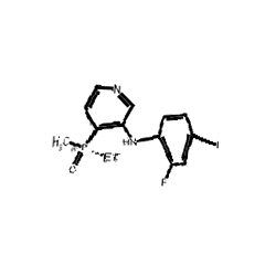 CC[P@@](C)(=O)c1ccncc1Nc1ccc(I)cc1F